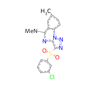 CNc1nc2c(S(=O)(=O)c3cccc(Cl)c3)nnn2c2ccc(C)cc12